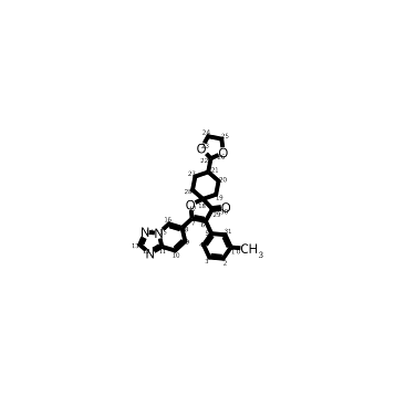 Cc1cccc(C2=C(c3ccc4ncnn4c3)OC3(CCC(C4OCCO4)CC3)C2=O)c1